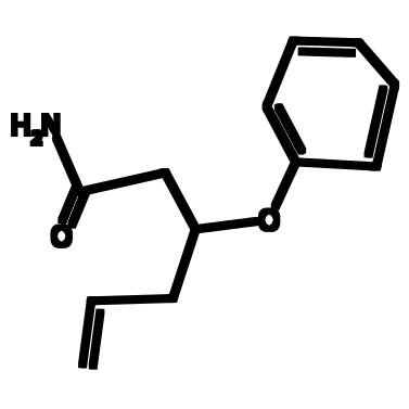 C=CCC(CC(N)=O)Oc1ccccc1